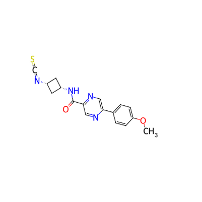 COc1ccc(-c2cnc(C(=O)N[C@H]3C[C@@H](N=C=S)C3)cn2)cc1